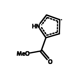 COC(=O)c1c[c]c[nH]1